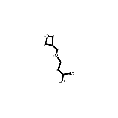 CCCC(CC)CCOCC1COC1